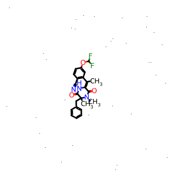 CC(=C1NC(=O)C(C)(Cc2ccccc2)N(C)C1=O)c1cc(OC(F)F)ccc1C#N